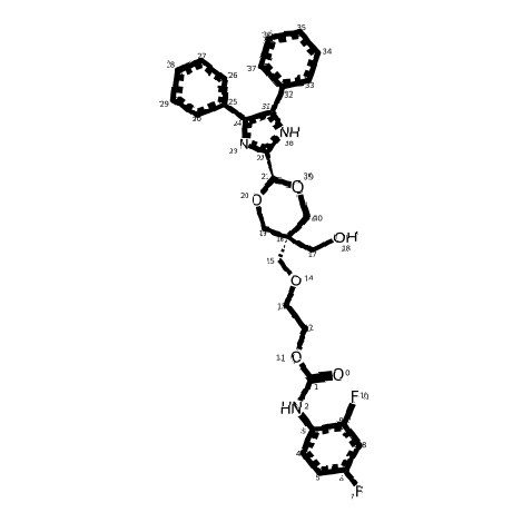 O=C(Nc1ccc(F)cc1F)OCCOC[C@]1(CO)CO[C@@H](c2nc(-c3ccccc3)c(-c3ccccc3)[nH]2)OC1